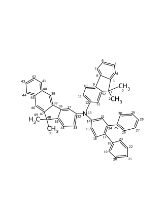 CC1(C)c2ccccc2-c2ccc(N(c3ccc(-c4ccccc4)c(-c4ccccc4)c3)c3ccc4c(c3)-c3cc5ccccc5cc3C4(C)C)cc21